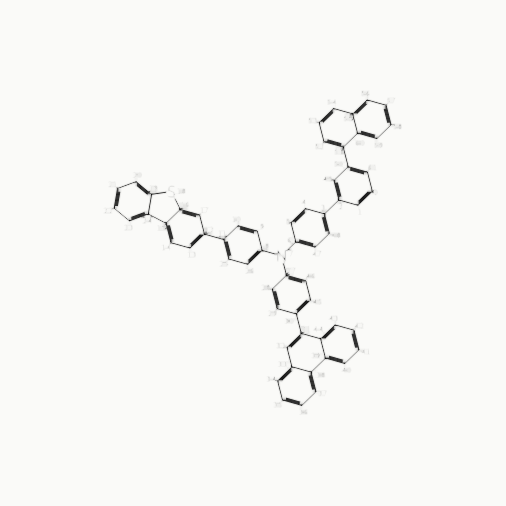 c1cc(-c2ccc(N(c3ccc(-c4ccc5c(c4)sc4ccccc45)cc3)c3ccc(-c4cc5ccccc5c5ccccc45)cc3)cc2)cc(-c2cccc3ccccc23)c1